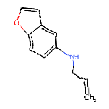 C=CCNc1ccc2occc2c1